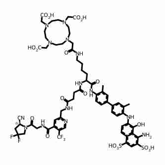 Cc1cc(-c2ccc(Nc3ccc4c(S(=O)(=O)O)cc(S(=O)(=O)O)c(N)c4c3O)c(C)c2)ccc1NC(=O)C(CCCCNC(=O)CN1CCN(CC(=O)O)CCN(CC(=O)O)CCN(CC(=O)O)CC1)NC(=O)CCC(=O)NCc1cc(C(=O)NCC(=O)N2CC(F)(F)C[C@H]2C#N)c(C(F)(F)F)cn1